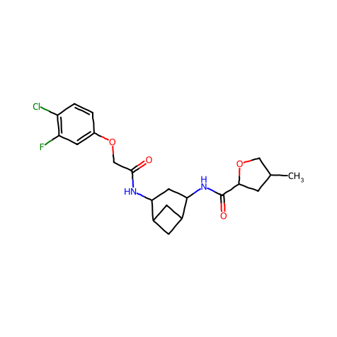 CC1COC(C(=O)NC2CC(NC(=O)COc3ccc(Cl)c(F)c3)C3CC2C3)C1